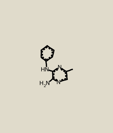 Cc1cnc(N)c(Nc2ccccc2)n1